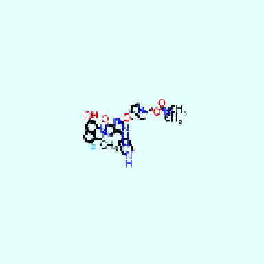 CCc1c(F)ccc2cc(O)cc(-n3ncc4c(C5=CC6CNCC(C5)N6)nc(OC[C@]56CCCN5[C@@H](COC(=O)N(C)C)CC6)nc4c3=O)c12